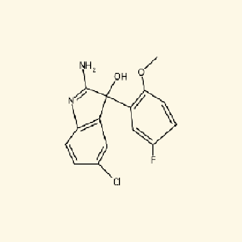 COc1ccc(F)cc1C1(O)C(N)=Nc2ccc(Cl)cc21